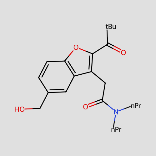 CCCN(CCC)C(=O)Cc1c(C(=O)C(C)(C)C)oc2ccc(CO)cc12